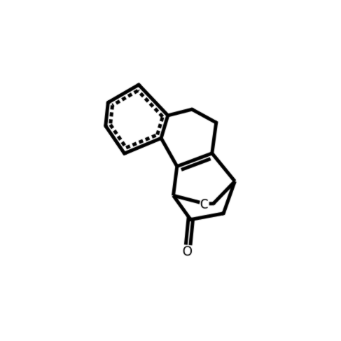 O=C1CC2CCC1C1=C2CCc2ccccc21